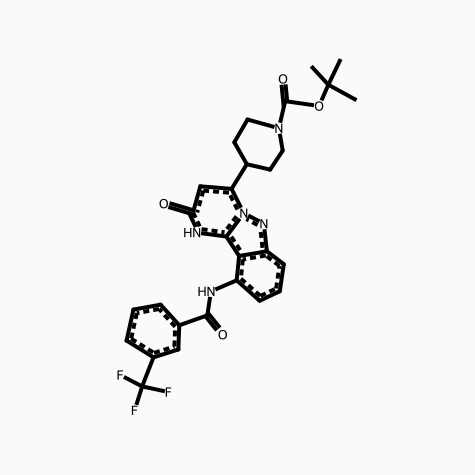 CC(C)(C)OC(=O)N1CCC(c2cc(=O)[nH]c3c4c(NC(=O)c5cccc(C(F)(F)F)c5)cccc4nn23)CC1